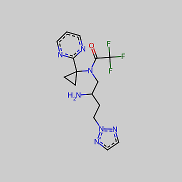 NC(CCn1nccn1)CN(C(=O)C(F)(F)F)C1(c2ncccn2)CC1